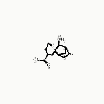 NC(=O)C1CCC[C@@]2(C1)C1CCC(C1)C2N